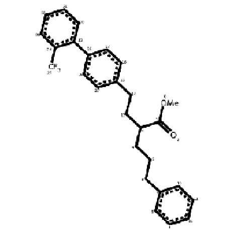 COC(=O)C(CCCc1ccccc1)CCc1ccc(-c2ccccc2C(F)(F)F)cc1